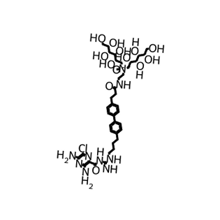 N=C(NCCCCc1ccc(-c2ccc(CCC(=O)NCC[N+]([O-])(CC(O)C(O)C(O)C(O)CO)CC(O)C(O)C(O)C(O)CO)cc2)cc1)NC(=O)c1nc(Cl)c(N)nc1N